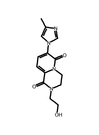 Cc1cn(-c2ccc3n(c2=O)CCN(CCO)C3=O)cn1